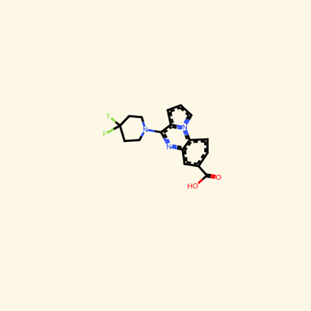 O=C(O)c1ccc2c(c1)nc(N1CCC(F)(F)CC1)c1cccn12